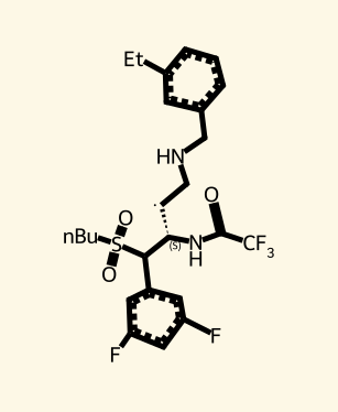 CCCCS(=O)(=O)C(c1cc(F)cc(F)c1)[C@H]([CH]CNCc1cccc(CC)c1)NC(=O)C(F)(F)F